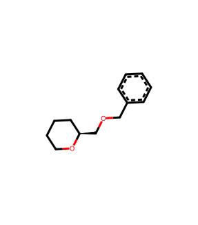 c1ccc(COC[C@@H]2CCCCO2)cc1